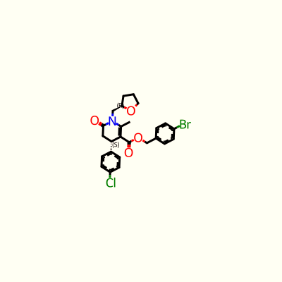 CC1=C(C(=O)OCc2ccc(Br)cc2)[C@H](c2ccc(Cl)cc2)CC(=O)N1C[C@H]1CCCO1